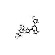 Cn1cc(-c2cc3nccn3c(-c3cnn(C4(CC#N)CCN(S(=O)(=O)C(F)(F)F)C4)c3)n2)cn1